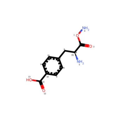 NOC(=O)[C@@H](N)Cc1ccc(C(=O)O)cc1